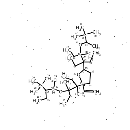 C=C[Si]1(C(C)(CC)C(C)(CC)O[SiH](C)C(CC)[Si](C)(C)C)CCC(C(CC)(CC)[Si](C)(CC)OC(C)[Si](C)(C)C)O1